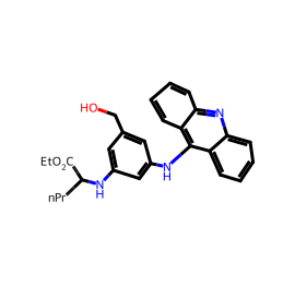 CCCC(Nc1cc(CO)cc(Nc2c3ccccc3nc3ccccc23)c1)C(=O)OCC